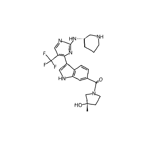 C[C@]1(O)CCN(C(=O)c2ccc3c(-c4nc(N[C@H]5CCCNC5)ncc4C(F)(F)F)c[nH]c3c2)C1